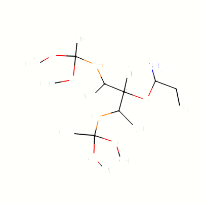 CCC(N)OC(C)(C(C)PC(C)(OC)OC)C(C)PC(C)(OC)OC